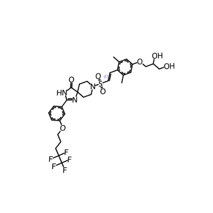 Cc1cc(OCC(O)CO)cc(C)c1/C=C/S(=O)(=O)N1CCC2(CC1)N=C(c1cccc(OCCCC(F)(F)C(F)(F)F)c1)NC2=O